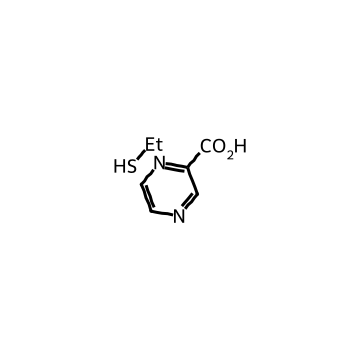 CCS.O=C(O)c1cnccn1